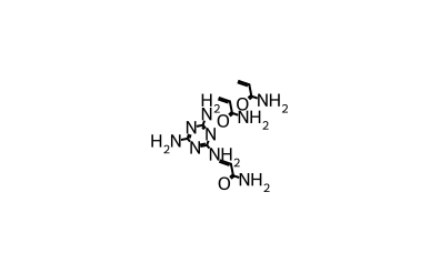 C=CC(N)=O.C=CC(N)=O.C=CC(N)=O.Nc1nc(N)nc(N)n1